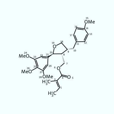 C/C=C(\C)C(=O)OC[C@H]1[C@@H](Cc2ccc(OC)cc2)CO[C@@H]1c1cc(OC)c(OC)c(OC)c1